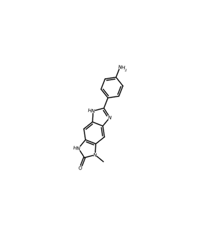 Cn1c(=O)[nH]c2cc3[nH]c(-c4ccc(N)cc4)nc3cc21